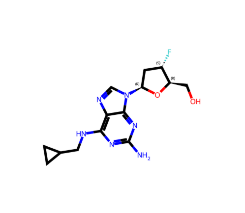 Nc1nc(NCC2CC2)c2ncn([C@H]3C[C@H](F)[C@@H](CO)O3)c2n1